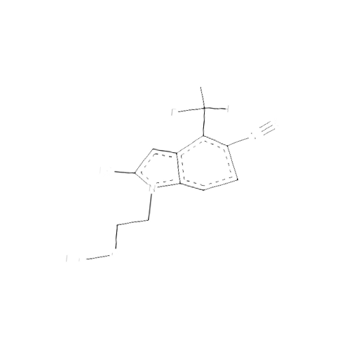 [C-]#[N+]c1ccc2c(cc(C)n2CCOC)c1C(F)(F)F